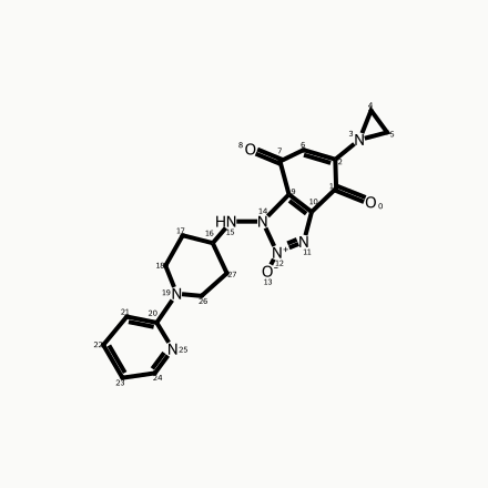 O=C1C(N2CC2)=CC(=O)c2c1n[n+]([O-])n2NC1CCN(c2ccccn2)CC1